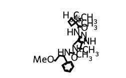 COCCC(NC(=O)N1Cc2c(NC(=O)C3([Si](C)(C)C)CCC3)n[nH]c2C1(C)C)c1ccccc1